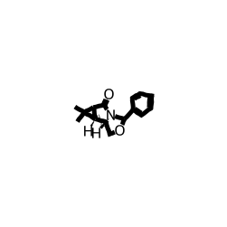 CC1(C)C2C(=O)N3C(c4ccccc4)OC[C@@H]3[C@H]21